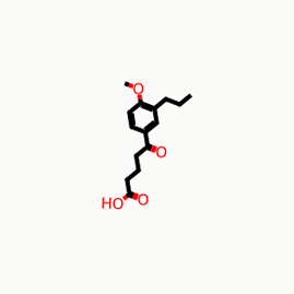 CCCc1cc(C(=O)CCCC(=O)O)ccc1OC